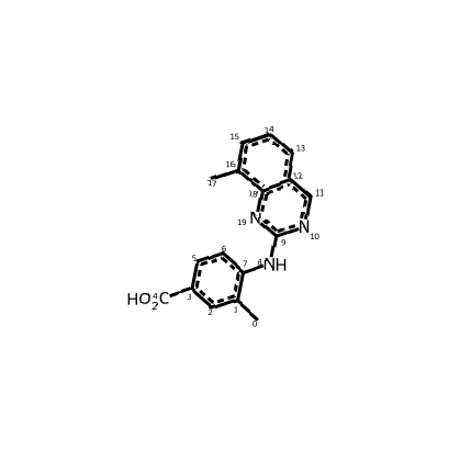 Cc1cc(C(=O)O)ccc1Nc1ncc2cccc(C)c2n1